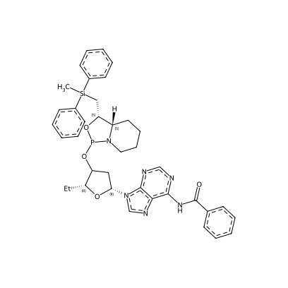 CC[C@H]1O[C@@H](n2cnc3c(NC(=O)c4ccccc4)ncnc32)CC1OP1O[C@H](C[Si](C)(c2ccccc2)c2ccccc2)[C@@H]2CCCCN21